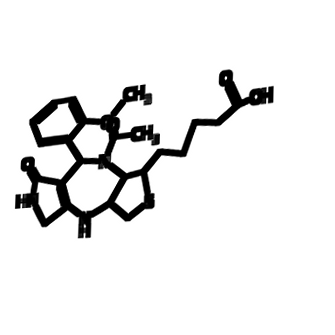 COc1ccccc1C1C2=C(CNC2=O)NC2CSC(CCCCC(=O)O)C2N1C(C)=O